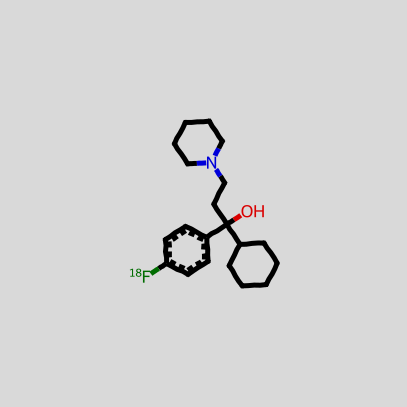 OC(CCN1CCCCC1)(c1ccc([18F])cc1)C1CCCCC1